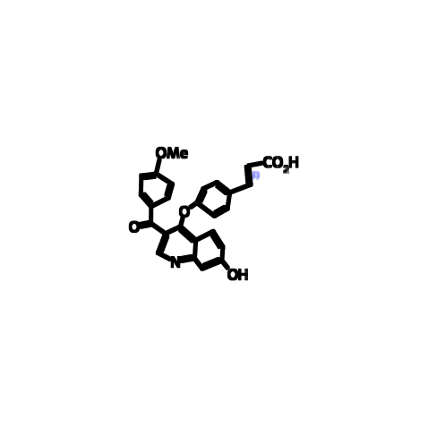 COc1ccc(C(=O)c2cnc3cc(O)ccc3c2Oc2ccc(/C=C/C(=O)O)cc2)cc1